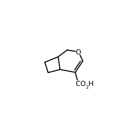 O=C(O)C1=COCC2CCC12